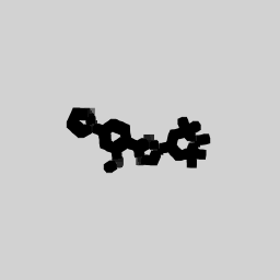 COc1cc(-n2cccn2)ccc1C1=NN(C2CC(C)(C)N(C)C(C)(C)C2)CS1